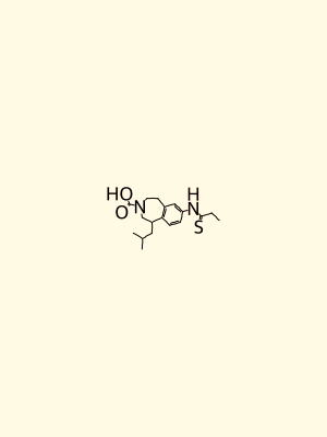 CCC(=S)Nc1ccc2c(c1)CCN(C(=O)O)CC2CC(C)C